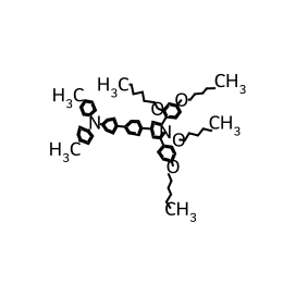 CCCCCCOc1ccc(-c2cc(-c3ccc(-c4ccc(N(c5ccc(C)cc5)c5ccc(C)cc5)cc4)cc3)cc(-c3ccc(OCCCCCC)cc3OCCCCCC)n2)c(OCCCCCC)c1